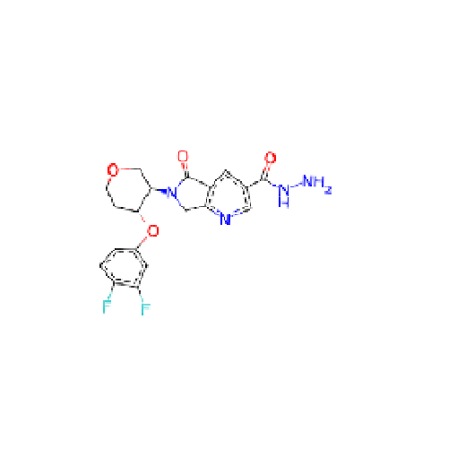 NNC(=O)c1cnc2c(c1)C(=O)N([C@@H]1COCC[C@H]1Oc1ccc(F)c(F)c1)C2